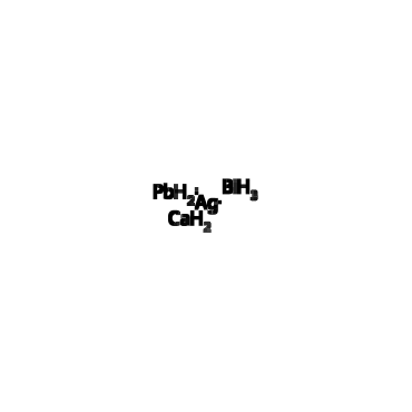 [Ag].[BiH3].[CaH2].[PbH2]